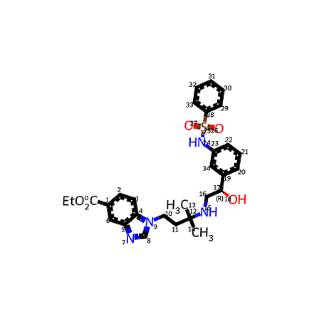 CCOC(=O)c1ccc2c(c1)ncn2CCC(C)(C)NC[C@H](O)c1cccc(NS(=O)(=O)c2ccccc2)c1